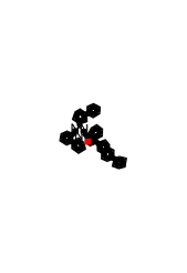 c1ccc(-c2cccc(-c3nc(-c4ccccc4-c4ccccc4)nc(-c4ccc(-c5ccc6cc(-c7ccccc7)ccc6c5)c5ccccc45)n3)c2)cc1